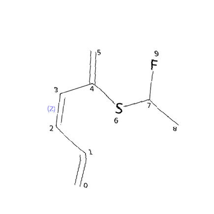 C=C/C=C\C(=C)SC(C)F